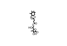 CC1=C(C)C(C)(C)CC(OC(=O)CCC(=O)OCC(O)C2OC(=O)C(O)=C2C)C1=O